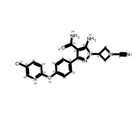 N#CN1CC(n2nc(-c3ccc(Oc4ccc(Cl)cn4)cc3)c(C(N)=O)c2N)C1